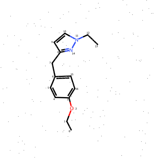 CCOc1ccc(Cc2ccn(CC)n2)cc1